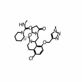 CNC(=O)N1CCCC[C@H]1C(=O)N1CCc2c(Cl)ccc(OCc3cn(C)nn3)c2C1CN1CCCC1=O